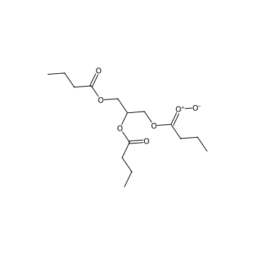 CCCC(=O)OCC(COC(CCC)=[O+][O-])OC(=O)CCC